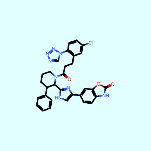 O=C(CCc1cc(Cl)ccc1-n1cnnn1)N1CCCC(c2ccccc2)C1c1nc(-c2ccc3[nH]c(=O)oc3c2)c[nH]1